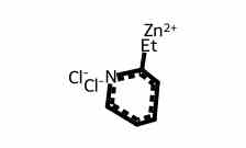 CCc1ccccn1.[Cl-].[Cl-].[Zn+2]